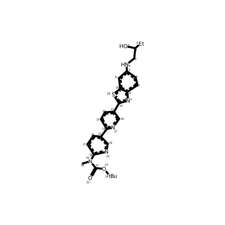 CCC(O)CNc1ccc2nc(-c3ccc(-c4ccc(N(C)C(=O)OC(C)(C)C)nc4)nc3)sc2c1